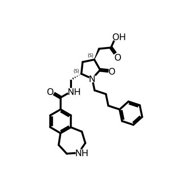 O=C(O)C[C@@H]1C[C@@H](CNC(=O)c2ccc3c(c2)CCNCC3)N(CCCc2ccccc2)C1=O